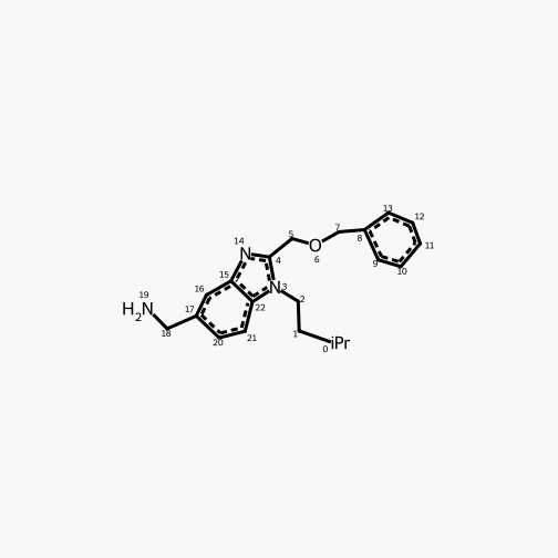 CC(C)CCn1c(COCc2ccccc2)nc2cc(CN)ccc21